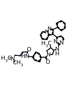 CC1CN(C(=O)c2ccc(NC(=O)/C=C/CN(C)C)cc2)CC1Nc1nccc(-c2c(-c3ccccc3)nn3ccccc23)n1